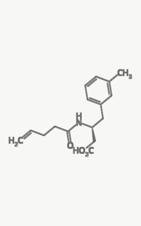 C=CCCC(=O)N[C@H](CC(=O)O)Cc1cccc(C)c1